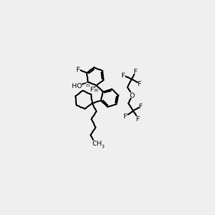 CCCCCC1(c2ccccc2[C@]2(F)C=CC=C(F)[C@@H]2O)CCCCC1.FC(F)(F)COCC(F)(F)F